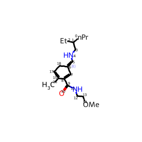 CCCC(CC)CN/C=C1/C=C(C(=O)NCCOC)C(C)=CC1